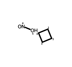 C1CCC1.O=NO